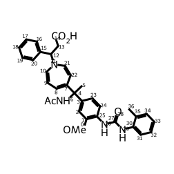 COc1cc(C(C)(NC(C)=O)C2=CC=CN(C(CC(=O)O)c3ccccc3)C=C2)ccc1NC(=O)Nc1ccccc1C